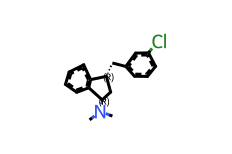 CN(C)[C@@H]1C[C@@H](Cc2cccc(Cl)c2)c2ccccc21